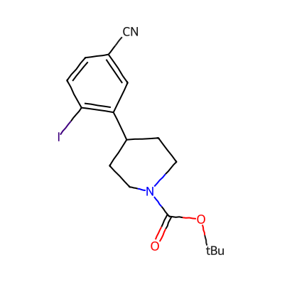 CC(C)(C)OC(=O)N1CCC(c2cc(C#N)ccc2I)CC1